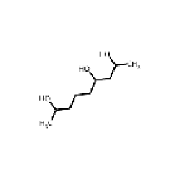 CC(O)CCCC(O)CC(C)O